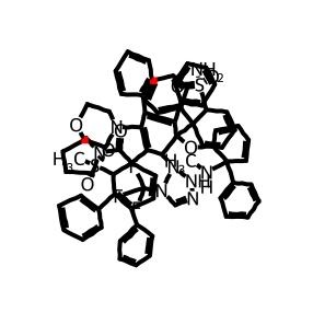 CNC1(c2ccccc2)C=CC=CC1OC1(C2(c3ccccc3)C=CC=CC2S(N)(=O)=O)C(c2ccccc2)=C(c2ccccc2)C(N2CCOCC2)=C(C2(C(=O)N3CCCC3)C=CC(c3ccccc3)=C(c3ccccc3)C2S(C)(=O)=O)C1N1NN=CN1C(F)(F)F